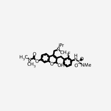 CNS(=O)(=O)Nc1cccc(CC2=C(CN(C)C(C)C)c3ccc(OC(=O)N(C)C)cc3OC2O)c1F